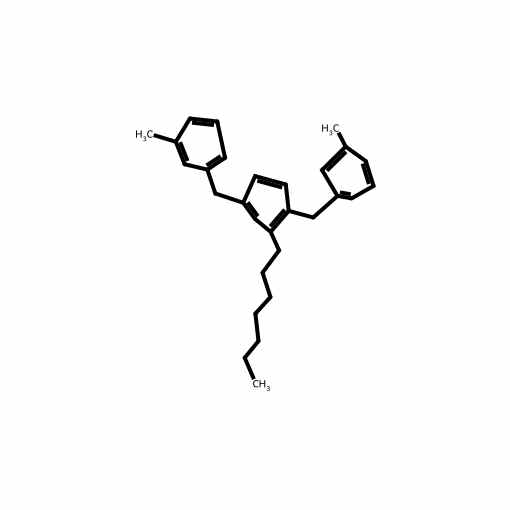 CCCCCCCc1cc(Cc2cccc(C)c2)ccc1Cc1cccc(C)c1